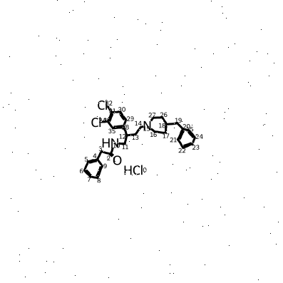 Cl.O=C(Cc1ccccc1)NCC(CCN1CCC(Cc2ccccc2)CC1)c1ccc(Cl)c(Cl)c1